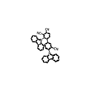 N#Cc1cc(-c2ccc(C#N)c(C#N)c2-n2c3ccccc3c3ccccc32)ccc1-n1c2ccccc2c2ccccc21